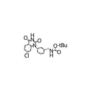 CC(C)(C)OC(=O)NCc1cccc(-n2c(=O)[nH]c(=O)c3ccc(Cl)cc32)c1